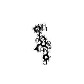 O=C(NCc1ccc(Cl)cc1)c1cc(CC2CC2)c2n(c1=O)CCN(CCN1CCCS1(O)O)C2=O